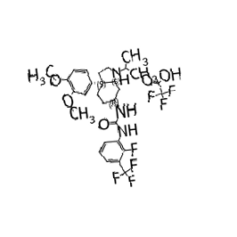 COc1ccc([C@@]23CC[C@@H](NC(=O)Nc4cccc(C(F)(F)F)c4F)C[C@@H]2N(C(C)C)CC3)cc1OC.O=C(O)C(F)(F)F